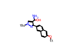 CCOc1ccc2cc(-c3nn(C(C)(C)C)cc3C(N)O)ccc2c1